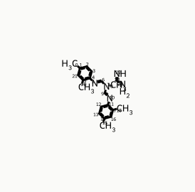 Cc1ccc(/N=C/N(C)/C=N/c2ccc(C)cc2C)c(C)c1.N=CN